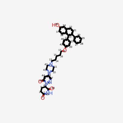 O=C1CCC(n2ncc(N3CCN(CCCCCOc4ccc(-c5c(-c6ccccc6)ccc6cc(O)ccc56)cc4)CC3)cc2=O)C(=O)N1